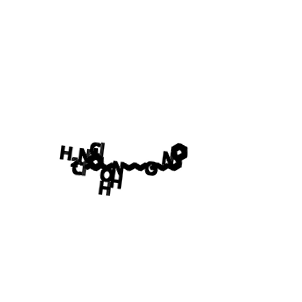 Nc1c(Cl)cc(C(O)CNCCCCCOCCc2ccc3ccccc3n2)cc1Cl